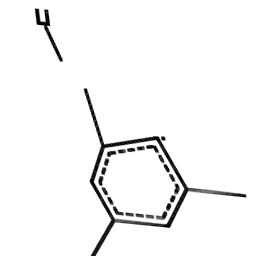 Cc1[c]c(C)cc(C)c1.[Li][CH3]